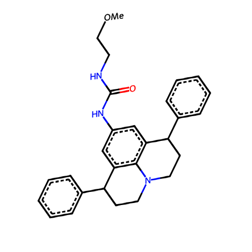 COCCNC(=O)Nc1cc2c3c(c1)C(c1ccccc1)CCN3CCC2c1ccccc1